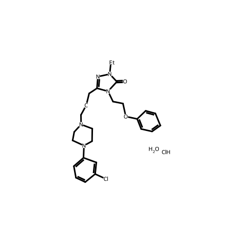 CCn1nc(CCCN2CCN(c3cccc(Cl)c3)CC2)n(CCOc2ccccc2)c1=O.Cl.O